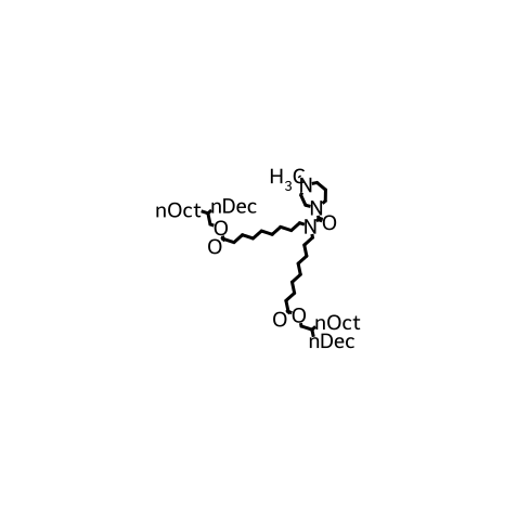 CCCCCCCCCCC(CCCCCCCC)COC(=O)CCCCCCCCN(CCCCCCCCC(=O)OCC(CCCCCCCC)CCCCCCCCCC)C(=O)N1CCCN(C)CC1